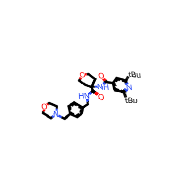 CC(C)(C)c1cc(C(=O)NC2(C(=O)NCc3ccc(CN4CCOCC4)cc3)CCOCC2)cc(C(C)(C)C)n1